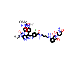 COC(=O)N[C@@H]1CC[C@@H](n2c(=O)n(C)c3cnc4[nH]c(-c5ccc(C(=O)NCCCCNc6cccc7c6C(=O)N(C6CCC(=O)NC6=O)C7=O)c(F)c5)c(-c5ccc6c(cnn6C(C)C)c5)c4c32)C1